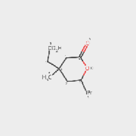 CC(C)C1CC(C)(CC(=O)O)CC(=O)O1